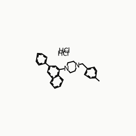 Cc1ccc(CN2CCN(c3cc(-c4ccccc4)cc4ccccc34)CC2)cc1.Cl.Cl